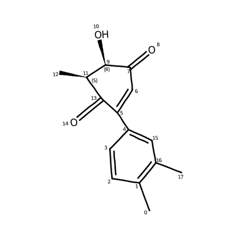 Cc1ccc(C2=CC(=O)[C@H](O)[C@H](C)C2=O)cc1C